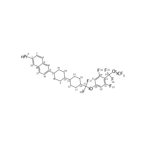 CCCc1ccc2cc(C3CCC(C4CCC(C(F)(F)Oc5cc(F)c(C(F)(F)OC(F)(F)F)c(F)c5)CC4)CC3)ccc2c1